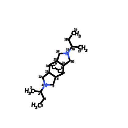 CCC(C)N1CC2C3CCC(C2C1)C1CN(C(C)CC)CC31